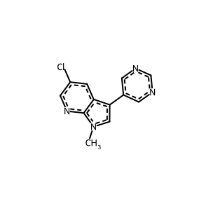 Cn1cc(-c2cncnc2)c2cc(Cl)cnc21